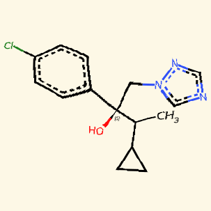 CC(C1CC1)[C@@](O)(Cn1cncn1)c1ccc(Cl)cc1